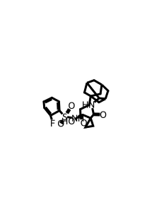 O=C(O)CCC12CC3CC(C1)C(NC(=O)C1(CNS(=O)(=O)c4ccccc4F)CC1)C(C3)C2